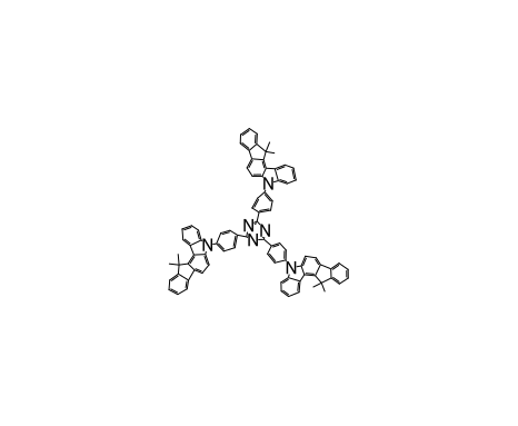 CC1(C)c2ccccc2-c2ccc3c(c21)c1ccccc1n3-c1ccc(-c2nc(-c3ccc(-n4c5ccccc5c5c6c(ccc54)-c4ccccc4C6(C)C)cc3)nc(-c3ccc(-n4c5ccccc5c5c6c(ccc54)-c4ccccc4C6(C)C)cc3)n2)cc1